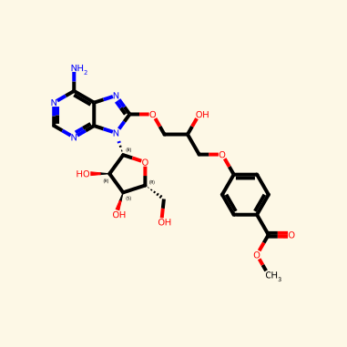 COC(=O)c1ccc(OCC(O)COc2nc3c(N)ncnc3n2[C@@H]2O[C@H](CO)[C@@H](O)[C@H]2O)cc1